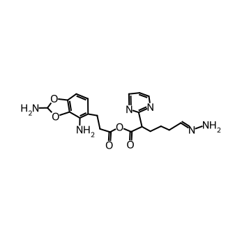 NN=CCCCC(C(=O)OC(=O)CCc1ccc2c(c1N)OC(N)O2)c1ncccn1